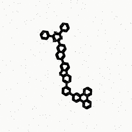 c1ccc(-c2nc(-c3ccccc3)nc(-c3ccc4cc(-c5ccc6c(c5)sc5cc(-c7cccc(-c8ccc9c%10ccccc%10c%10ccccc%10c9c8)c7)ccc56)ccc4c3)n2)cc1